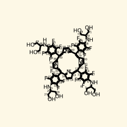 OCC(CO)Nc1c(F)c(F)c(C2=C3C=CC(=N3)C(c3c(F)c(F)c(NC(CO)CO)c(F)c3F)=C3C=CC(=N3)C(c3c(F)c(F)c(NC(CO)CO)c(F)c3F)=C3C=CC(=N3)C(c3c(F)c(F)c(NC(CO)CO)c(F)c3F)=C3C=CC2=N3)c(F)c1F